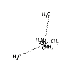 CCCCCCCCCCCCCCCCCCN(C(N)=O)C(CCCCC)N(CCCCCCCCCCCCCCCCCC)C(N)=O